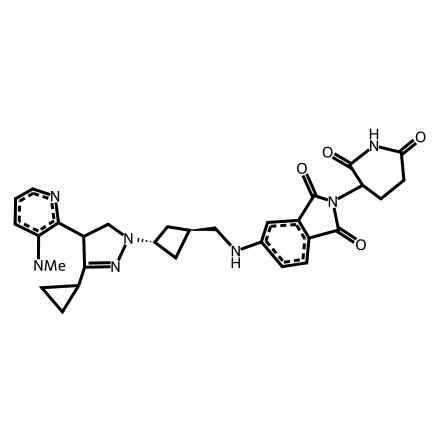 CNc1cccnc1C1CN([C@H]2C[C@H](CNc3ccc4c(c3)C(=O)N(C3CCC(=O)NC3=O)C4=O)C2)N=C1C1CC1